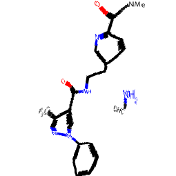 CNC(=O)c1ccc(CCNC(=O)c2cn(-c3ccccc3)nc2C(F)(F)F)cn1.NC=O